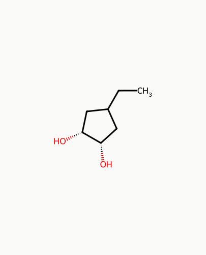 CCC1C[C@@H](O)[C@@H](O)C1